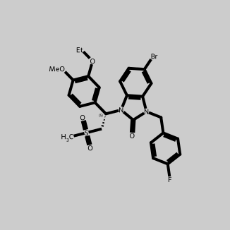 CCOc1cc([C@@H](CS(C)(=O)=O)n2c(=O)n(Cc3ccc(F)cc3)c3cc(Br)ccc32)ccc1OC